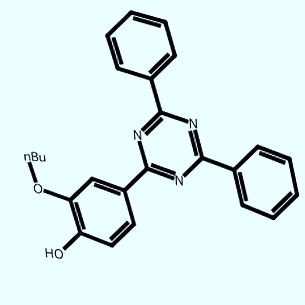 CCCCOc1cc(-c2nc(-c3ccccc3)nc(-c3ccccc3)n2)ccc1O